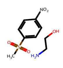 CS(=O)(=O)c1ccc([N+](=O)[O-])cc1.NCCO